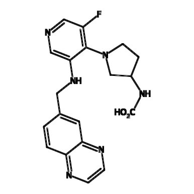 O=C(O)NC1CCN(c2c(F)cncc2NCc2ccc3nccnc3c2)C1